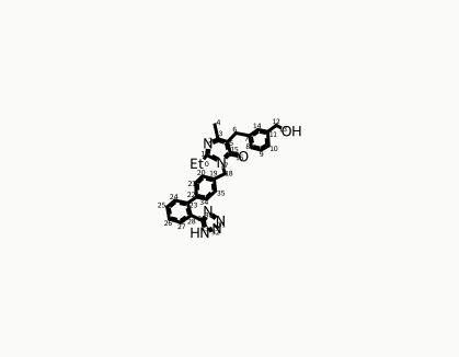 CCc1nc(C)c(Cc2cccc(CO)c2)c(=O)n1Cc1ccc(-c2ccccc2-c2nnn[nH]2)cc1